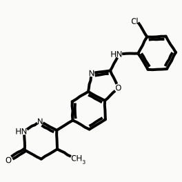 CC1CC(=O)NN=C1c1ccc2oc(Nc3ccccc3Cl)nc2c1